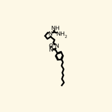 CCCCCCCCc1ccc(-c2noc(CC3CCCN3C(=N)N)n2)cc1